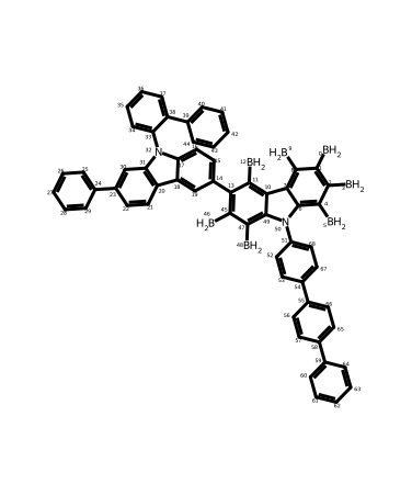 Bc1c(B)c(B)c2c(c1B)c1c(B)c(-c3ccc4c(c3)c3ccc(-c5ccccc5)cc3n4-c3ccccc3-c3ccccc3)c(B)c(B)c1n2-c1ccc(-c2ccc(-c3ccccc3)cc2)cc1